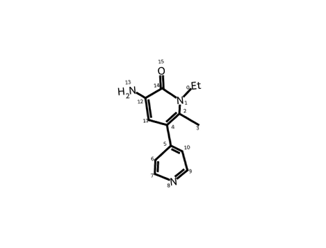 CCn1c(C)c(-c2ccncc2)cc(N)c1=O